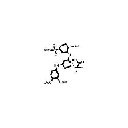 CNS(=O)(=O)c1ccc(SC)c(Nc2cc(Nc3ccc(OC)c(OC)c3)ncn2)c1.O=C(O)C(F)(F)F